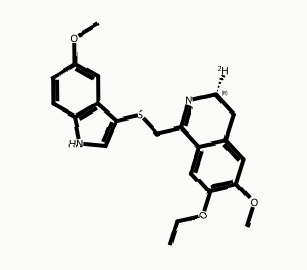 [2H][C@@H]1Cc2cc(OC)c(OCC)cc2C(CSc2c[nH]c3ccc(OC)cc23)=N1